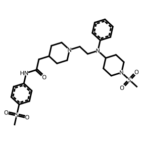 CS(=O)(=O)c1ccc(NC(=O)CC2CCN(CCN(c3ccccc3)C3CCN(S(C)(=O)=O)CC3)CC2)cc1